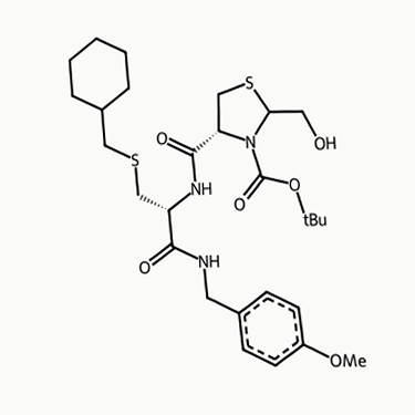 COc1ccc(CNC(=O)[C@H](CSCC2CCCCC2)NC(=O)[C@@H]2CSC(CO)N2C(=O)OC(C)(C)C)cc1